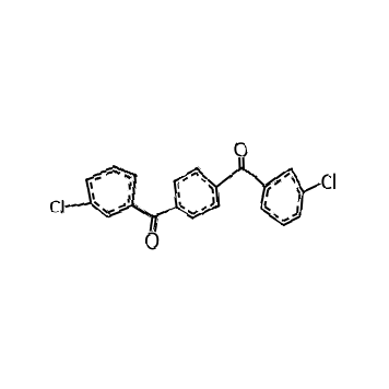 O=C(c1ccc(C(=O)c2cccc(Cl)c2)cc1)c1cccc(Cl)c1